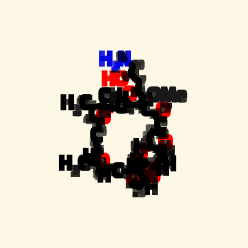 C=C1C2C[C@@H]3OC(C[C@H](O)CN)[C@H](OC)C3CC(=O)CC3CC[C@@H]4O[C@@H]5[C@H]6O[C@@H]7C[C@](CC[C@H]8CC(=C)[C@H](CCC(C[C@H]1C)O2)O8)(O[C@H]6[C@H]4O3)O[C@H]57